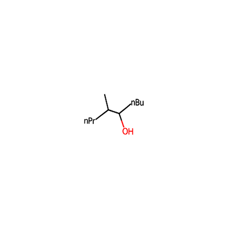 CCCCC(O)C(C)CCC